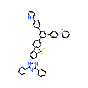 FC1(F)c2cc(-c3cc(-c4ccc(-c5ccccn5)cc4)cc(-c4ccc(-c5ccccn5)cc4)c3)ccc2-c2ccc(-c3nc(-c4ccccc4)nc(-c4ccccc4)n3)cc21